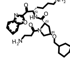 NCCCC[C@H](NC(=O)[C@@H]1C[C@@H](OCC2CCCCC2)CN1C(=O)CCN)C(=O)c1nc2ccccc2o1